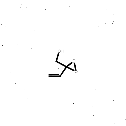 C=CC1(CO)OO1